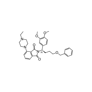 CCN1CCN(c2cccc3c2C(=O)N([C@H](CCCOCc2ccccc2)c2ccc(OC)c(OC)c2)C3=O)CC1